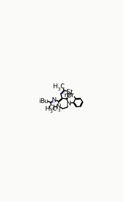 CCCc1ccccc1N1CCN(C)C(/N=C(\C)C(C)CC)=C(/C=C(/C)CC)C1=O